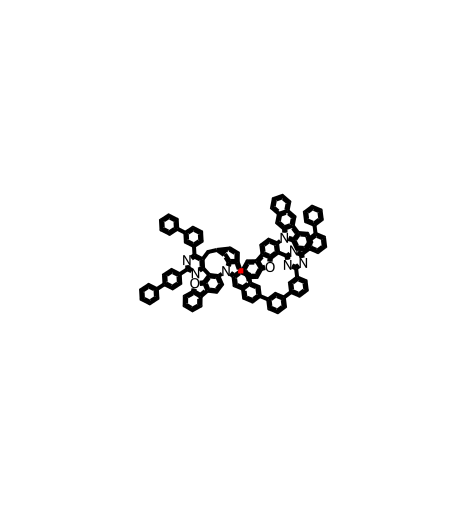 c1ccc(-c2ccc(-c3nc(-c4cccc(-c5ccccc5)c4)c4c(n3)-c3c(ccc5c3oc3ccccc35)-n3c5cc(ccc5c5cc6cc(-c7cccc(-c8cccc(-c9nc(-c%10cccc(-c%11ccccc%11)c%10)nc(-c%10c(-n%11c%12ccccc%12c%12cc%13ccccc%13cc%12%11)ccc%11c%10oc%10ccccc%10%11)n9)c8)c7)ccc6cc53)C4)cc2)cc1